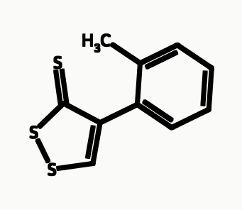 Cc1ccccc1-c1cssc1=S